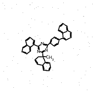 CC1(c2nc(-c3ccc(-c4cccc5ccccc45)cc3)nc(-c3cccc4ccccc34)n2)CC=Cc2ccccc21